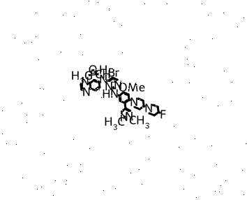 COc1cc(N2CCC(N3CCC(F)CC3)CC2)c(C2=CN(C)N(C)C2)cc1Nc1ncc(Br)c(Nc2ccc3nccnc3c2P(C)(C)=O)n1